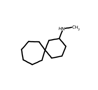 CNC1CCCC2(CCCCCC2)C1